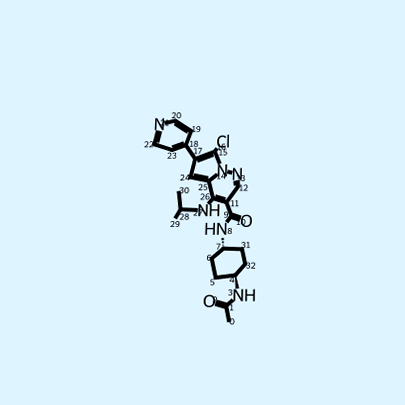 CC(=O)N[C@H]1CC[C@H](NC(=O)c2cnn3c(Cl)c(-c4ccncc4)cc3c2NC(C)C)CC1